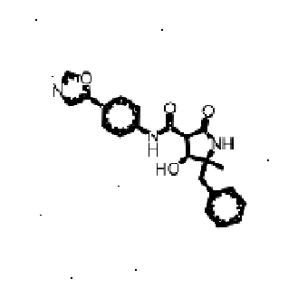 CC1(Cc2ccccc2)NC(=O)C(C(=O)Nc2ccc(-c3cnco3)cc2)C1O